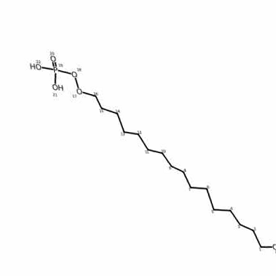 CC(C)COCCCCCCCCCCCCCCCCOOP(=O)(O)O